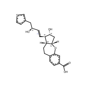 O=C(O)c1ccc2c(c1)O[C@H]1C[C@@H](O)[C@H](/C=C/[C@@H](O)Cc3ccsc3)[C@H]1CC2